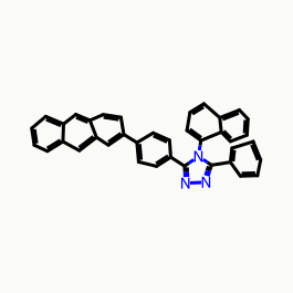 c1ccc(-c2nnc(-c3ccc(-c4ccc5cc6ccccc6cc5c4)cc3)n2-c2cccc3ccccc23)cc1